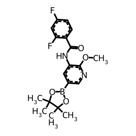 COc1ncc(B2OC(C)(C)C(C)(C)O2)cc1NC(=O)c1ccc(F)cc1F